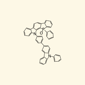 O=P1(c2ccccc2)c2ccccc2-c2ccc3c4ccccc4n(-c4ccc(-c5ccc6c(c5)c5ccccc5n6-c5ccccc5)cc4)c3c21